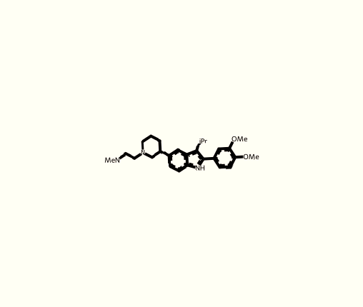 CNCCN1CCCC(c2ccc3[nH]c(-c4ccc(OC)c(OC)c4)c(C(C)C)c3c2)C1